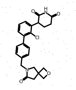 O=C1CCC(c2cccc(-c3ccc(CN4CC5(COC5)CC4=O)cc3)c2Cl)C(=O)N1